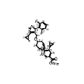 COC(=O)c1cnc(N2C3CC(OCc4c(-c5c(F)cccc5F)noc4C4CC4)CC2[C@H](C)C3)c(C2CC2)c1